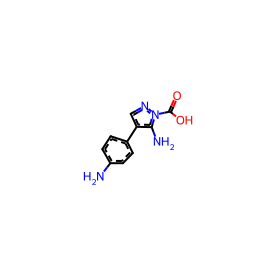 Nc1ccc(-c2cnn(C(=O)O)c2N)cc1